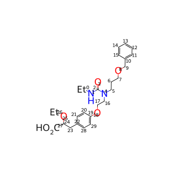 CCNC(=O)N(CCCOCc1ccccc1)CCOc1ccc(CC(OCC)C(=O)O)cc1